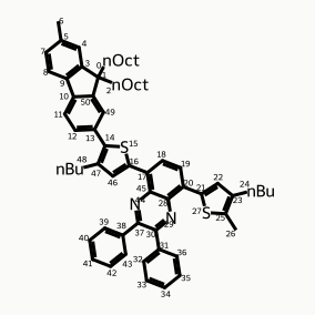 CCCCCCCCC1(CCCCCCCC)c2cc(C)ccc2-c2ccc(-c3sc(-c4ccc(-c5cc(CCCC)c(C)s5)c5nc(-c6ccccc6)c(-c6ccccc6)nc45)cc3CCCC)cc21